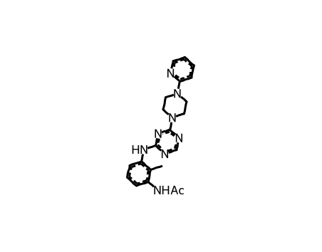 CC(=O)Nc1cccc(Nc2ncnc(N3CCN(c4ccccn4)CC3)n2)c1C